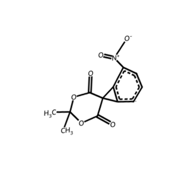 CC1(C)OC(=O)C2(C(=O)O1)c1[c]ccc([N+](=O)[O-])c12